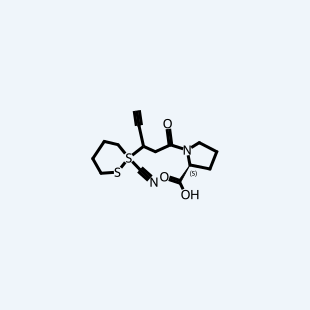 C#CC(CC(=O)N1CCC[C@H]1C(=O)O)S1(C#N)CCCCS1